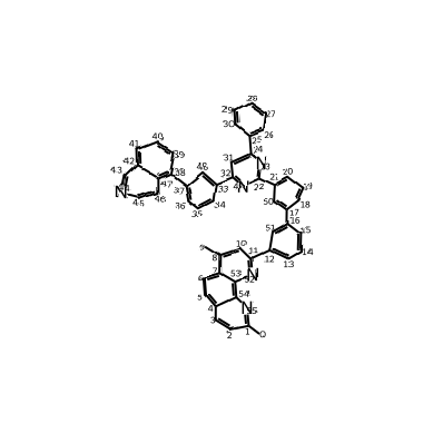 Cc1ccc2ccc3c(C)cc(-c4cccc(-c5cccc(-c6nc(-c7ccccc7)cc(-c7cccc(-c8cccc9cnccc89)c7)n6)c5)c4)nc3c2n1